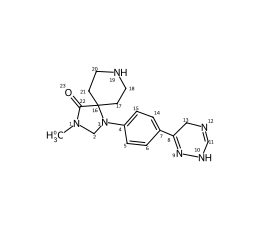 CN1CN(c2ccc(C3=NNC=NC3)cc2)C2(CCNCC2)C1=O